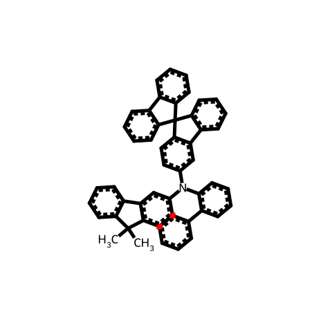 CC1(C)c2ccccc2-c2cc(N(c3ccc4c(c3)-c3ccccc3C43c4ccccc4-c4ccccc43)c3ccccc3-c3ccccc3)ccc21